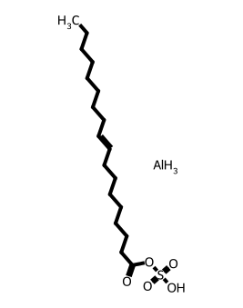 CCCCCCCCC=CCCCCCCCC(=O)OS(=O)(=O)O.[AlH3]